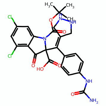 CC(C)(C)OC(=O)N1c2cc(Cl)cc(Cl)c2C(=O)C1(C(=O)O)C(=C1CNNC1)c1ccc(NC(N)=O)cc1